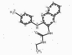 CCNC(=O)Nc1nc2cccnc2nc1Nc1ccc(C)cc1